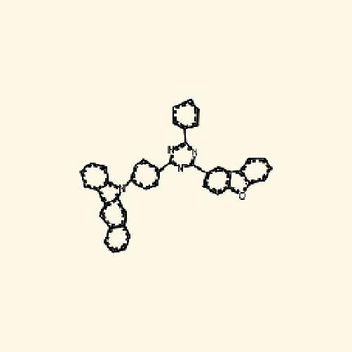 c1ccc(-c2nc(-c3ccc(-n4c5ccccc5c5cc6ccccc6cc54)cc3)nc(-c3ccc4oc5ccccc5c4c3)n2)cc1